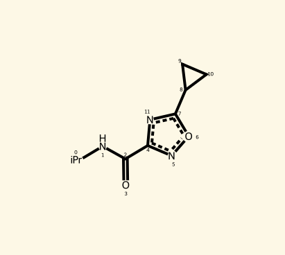 CC(C)NC(=O)c1noc(C2CC2)n1